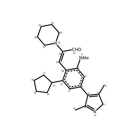 CNc1cc(C2=C(C)CN=C2C)cc(C2CCCC2)c1/C=C(\C=O)N1CCCCC1